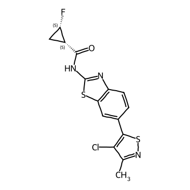 Cc1nsc(-c2ccc3nc(NC(=O)[C@@H]4C[C@@H]4F)sc3c2)c1Cl